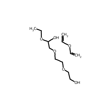 C=COC=C.CCOC(O)COCCOCCO